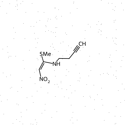 C#CCCNC(=C[N+](=O)[O-])SC